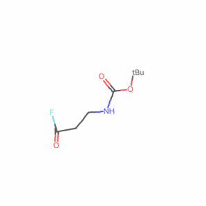 CC(C)(C)OC(=O)NCCC(=O)F